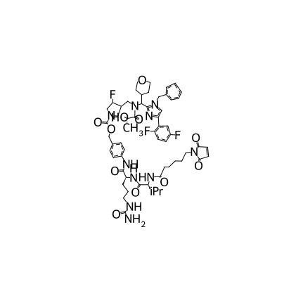 CC(C)[C@H](NC(=O)CCCCCN1C(=O)C=CC1=O)C(=O)N[C@@H](CCCNC(N)=O)C(=O)Nc1ccc(COC(=O)N2CC(F)C(CN(C(=O)[C@H](C)O)C(c3nc(-c4cc(F)ccc4F)cn3Cc3ccccc3)C3CCOCC3)C2)cc1